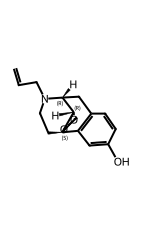 C=CCN1CC[C@]23COCO[C@H]2[C@H]1Cc1ccc(O)cc13